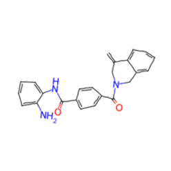 C=C1CN(C(=O)c2ccc(C(=O)Nc3ccccc3N)cc2)Cc2ccccc21